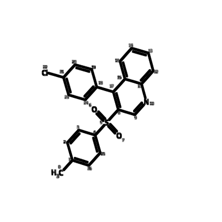 Cc1ccc(S(=O)(=O)c2cnc3ccccc3c2-c2ccc(Cl)cc2)cc1